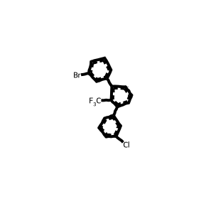 FC(F)(F)c1c(-c2cccc(Br)c2)[c]ccc1-c1cccc(Cl)c1